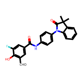 CC1(C)C(=O)N(c2ccc(NC(=O)c3cc(F)c(O)c(C=O)c3)cc2)c2ccccc21